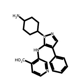 NC1CCC(n2ncc(-c3ccccc3)c2Nc2cnccc2C(=O)O)CC1